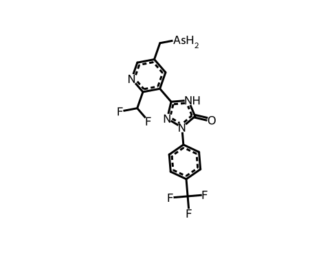 O=c1[nH]c(-c2cc(C[AsH2])cnc2C(F)F)nn1-c1ccc(C(F)(F)F)cc1